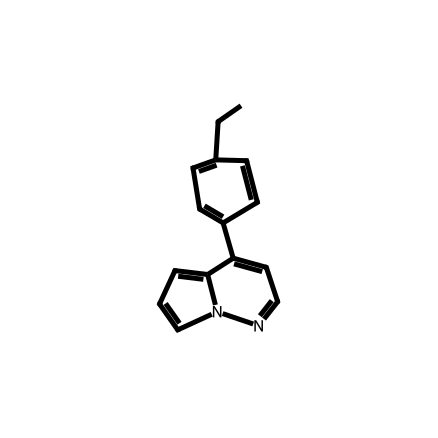 CCc1ccc(-c2ccnn3cccc23)cc1